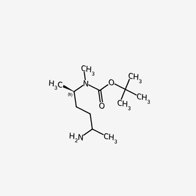 CC(N)CC[C@@H](C)N(C)C(=O)OC(C)(C)C